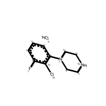 Cl.Fc1cccc(N2CCNCC2)c1Cl